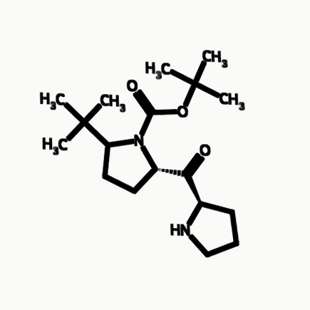 CC(C)(C)OC(=O)N1C(C(C)(C)C)CC[C@H]1C(=O)[C@H]1CCCN1